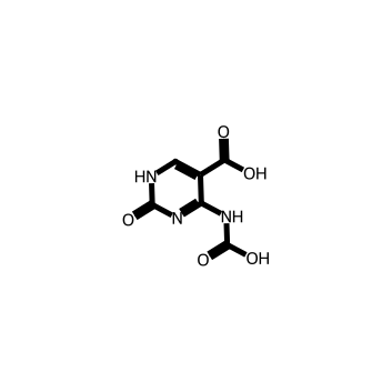 O=C(O)Nc1nc(=O)[nH]cc1C(=O)O